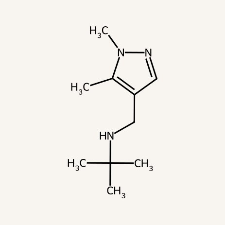 Cc1c(CNC(C)(C)C)cnn1C